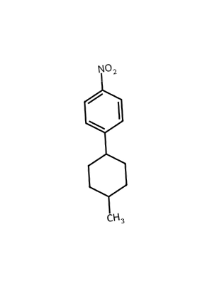 CC1CCC(c2ccc([N+](=O)[O-])cc2)CC1